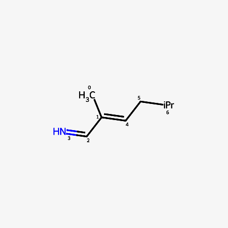 C/C(C=N)=C\CC(C)C